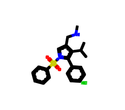 CNCc1cn(S(=O)(=O)c2ccccc2)c(-c2ccccc2)c1C(C)C.Cl